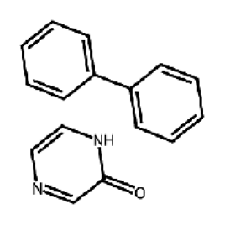 O=c1cncc[nH]1.c1ccc(-c2ccccc2)cc1